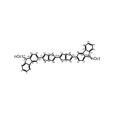 CCCCCCCCn1c2ccccc2c2cc(-c3cc4sc(-c5cc6sc(-c7ccc8c(c7)c7ccccc7n8CCCCCCCC)cc6s5)cc4s3)ccc21